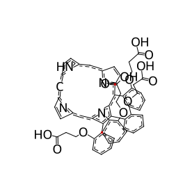 O=C(O)CCOc1ccccc1-c1c(-c2ccccc2OCCC(=O)O)c2c(-c3ccccc3OCCC(=O)O)c3nc(cc4ccc(cc5nc(cc1n2-c1ccccc1OCCC(=O)O)C=C5)[nH]4)C=C3